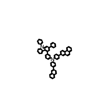 c1ccc(-c2cc(-c3cccc(N(c4ccc(-c5ccc6ccccc6c5)cc4)c4ccc(-c5ccc6c(ccc7ccccc76)c5)cc4)c3)c3c4ccccc4n(-c4ccccc4)c3c2)cc1